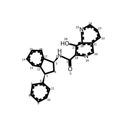 O=C(N[C@H]1C[C@@H](c2ccccc2)c2ccccc21)c1ncc2cccnc2c1O